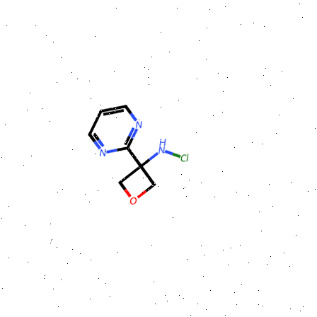 ClNC1(c2ncccn2)COC1